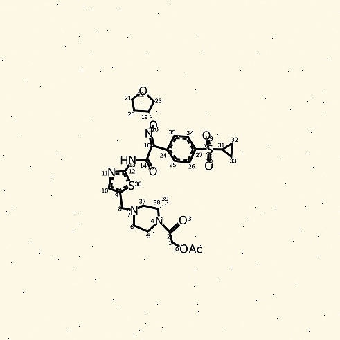 CC(=O)OCC(=O)N1CCN(Cc2cnc(NC(=O)/C(=N/O[C@@H]3CCOC3)c3ccc(S(=O)(=O)C4CC4)cc3)s2)C[C@@H]1C